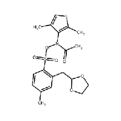 CC(=O)N(OS(=O)(=O)c1ccc(C)cc1CC1OCCO1)c1c(C)csc1C